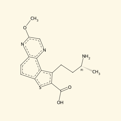 COc1cnc2c(ccc3sc(C(=O)O)c(CC[C@@H](C)N)c32)n1